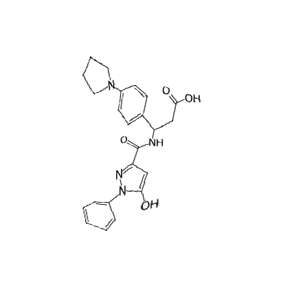 O=C(O)CC(NC(=O)c1cc(O)n(-c2ccccc2)n1)c1ccc(N2CCCC2)cc1